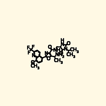 COc1ccc(-c2nc(C(=O)NC[C@H]3NC(=O)N(C(C)C)C3=O)c([C@H](C)N)o2)c2ccc(C(F)(F)F)nc12